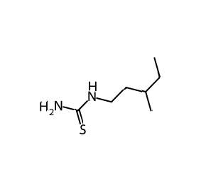 CCC(C)CCNC(N)=S